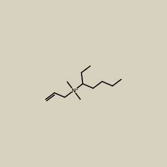 C=CC[N+](C)(C)C(CC)CCCC